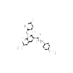 CC(C)c1cnc2c(c1)cc(C(=O)NCc1ccc(C#N)cc1)c(=O)n2Cc1ccc(F)cn1